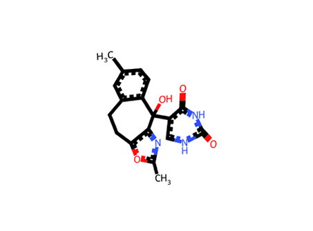 Cc1ccc2c(c1)CCc1oc(C)nc1C2(O)c1c[nH]c(=O)[nH]c1=O